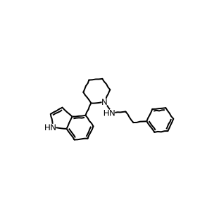 c1ccc(CCNN2CCCCC2c2cccc3[nH]ccc23)cc1